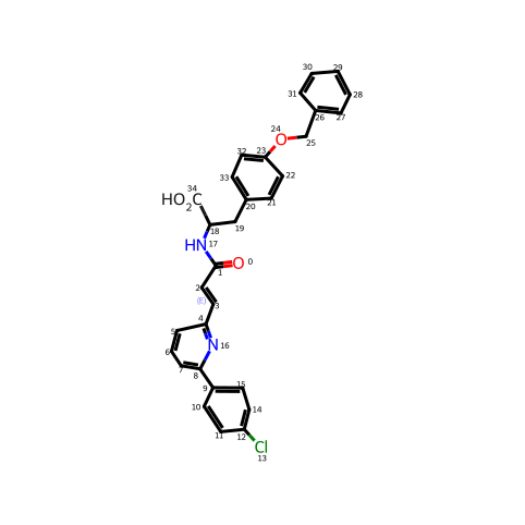 O=C(/C=C/c1cccc(-c2ccc(Cl)cc2)n1)NC(Cc1ccc(OCc2ccccc2)cc1)C(=O)O